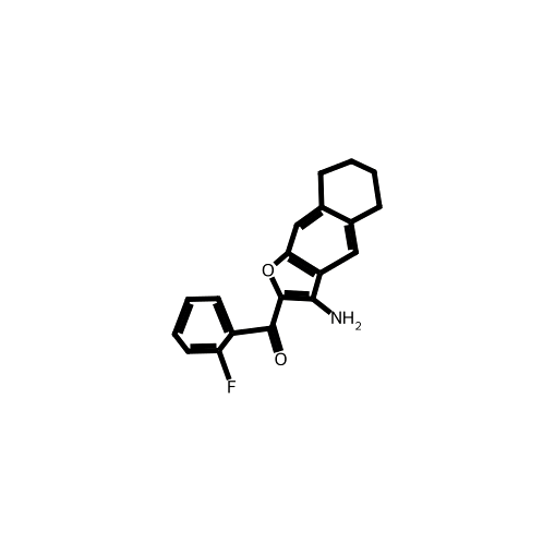 Nc1c(C(=O)c2ccccc2F)oc2cc3c(cc12)CCCC3